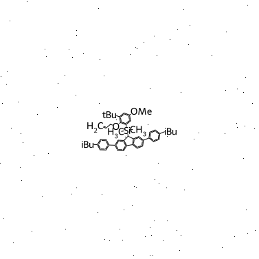 C=CCOc1c(C(C)(C)C)cc(OC)cc1[Si](C)(C)C1c2cc(-c3ccc(C(C)CC)cc3)ccc2-c2ccc(-c3ccc(C(C)CC)cc3)cc21